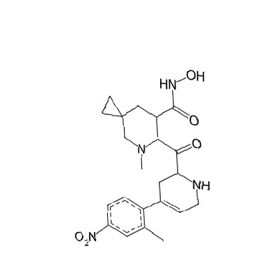 Cc1cc([N+](=O)[O-])ccc1C1=CCNC(C(=O)C2C(C(=O)NO)CC3(CC3)CN2C)C1